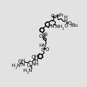 CCCN(CCCNC(=O)OC(C)(C)C)C(=O)C1=Cc2ccc(-c3cccc(S(=O)(=O)N4CC(CNC(=O)OCc5ccc(NC(=O)[C@H](CCCNC(N)=O)NC(=O)CN)cc5)C4)c3)cc2N=C(N)C1